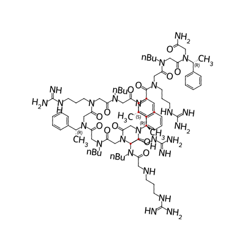 CCCCN(CC(=O)N(CC(N)=O)[C@H](C)c1ccccc1)C(=O)CN(CCCNC(=N)N)C(=O)CN(C(=O)CN(CCCC)C(=O)CN(CCCNC(=N)N)C(=O)CN(C(=O)CN(CCCC)C(=O)CN(CCCNC(=N)N)C(=O)CN(C(=O)CN(CCCC)C(=O)CNCCCNC(=N)N)[C@H](C)c1ccccc1)[C@H](C)c1ccccc1)[C@@H](C)c1ccccc1